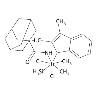 CC1=C(C)[CH]([Ti]([CH3])([CH3])([SiH3])([Cl])([Cl])[NH]C(=O)C23CC4CC(CC(C4)C2)C3)c2ccccc21